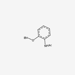 CCC(C)Oc1ccccc1NC(C)=O